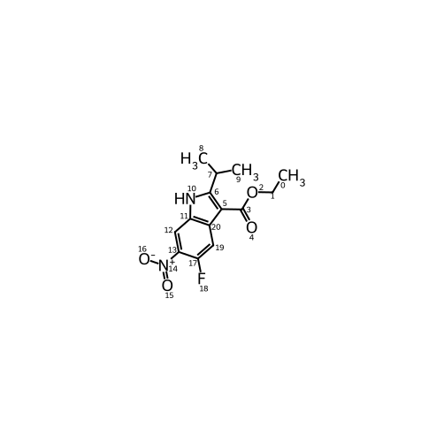 CCOC(=O)c1c(C(C)C)[nH]c2cc([N+](=O)[O-])c(F)cc12